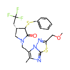 COCc1nn2c(CN3C[C@H](CC(F)(F)F)C(Sc4ccccc4)C3=O)c(C)nc2s1